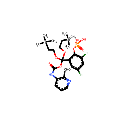 C[Si](C)(C)CCOC(OCC[Si](C)(C)C)(OC(=O)Nc1cccnc1C=O)c1cc(Cl)cc(Cl)c1OP(=O)(O)O